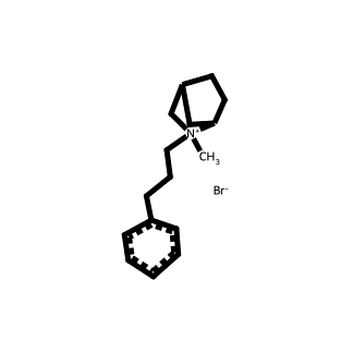 C[N+]1(CCCc2ccccc2)CC2CCC1C2.[Br-]